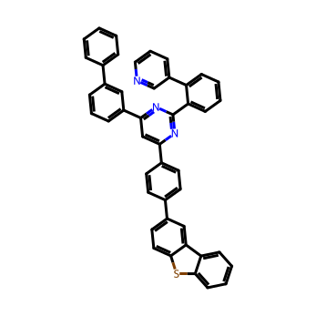 c1ccc(-c2cccc(-c3cc(-c4ccc(-c5ccc6sc7ccccc7c6c5)cc4)nc(-c4ccccc4-c4cccnc4)n3)c2)cc1